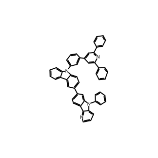 c1ccc(-c2cc(-c3cccc(-n4c5ccccc5c5cc(-c6ccc7c8ncccc8n(-c8ccccc8)c7c6)ccc54)c3)cc(-c3ccccc3)n2)cc1